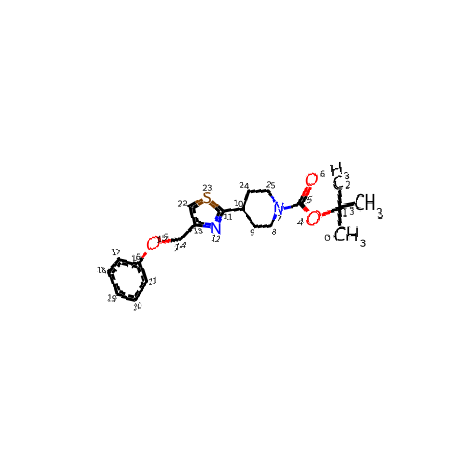 CC(C)(C)OC(=O)N1CCC(c2nc(COc3ccccc3)cs2)CC1